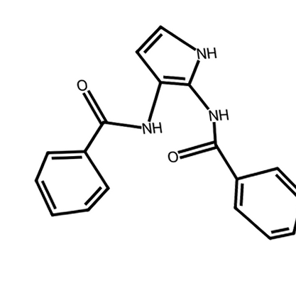 O=C(Nc1cc[nH]c1NC(=O)c1ccccc1)c1ccccc1